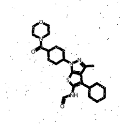 Cc1nn(C2CCC(C(=O)N3CCOCC3)CC2)c2sc(NC=O)c(C3CCCCC3)c12